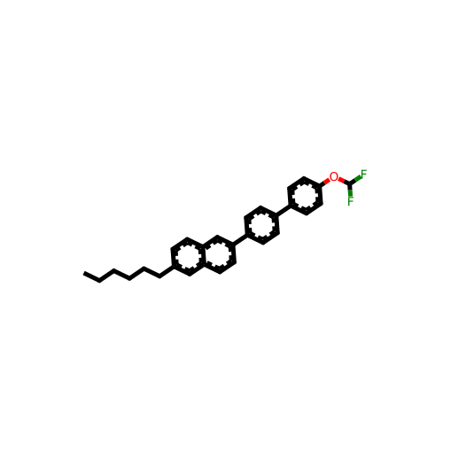 CCCCCCc1ccc2cc(-c3ccc(-c4ccc(OC(F)F)cc4)cc3)ccc2c1